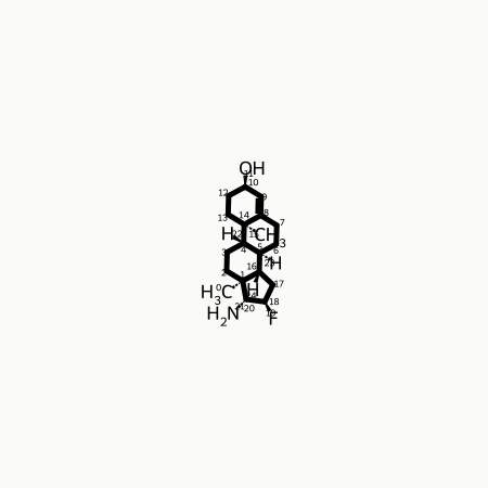 C[C@]12CC[C@H]3[C@@H](CCC4=C[C@H](O)CC[C@@]43C)[C@@H]1C[C@@H](F)[C@@H]2N